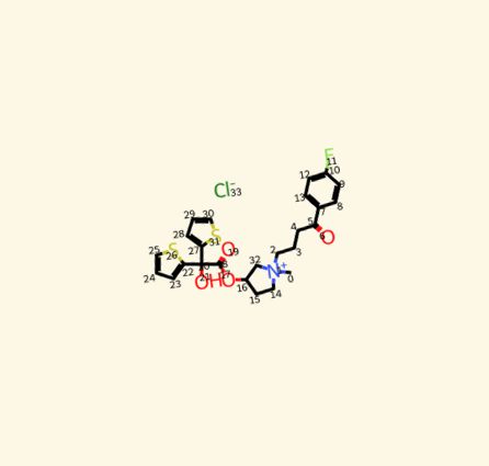 C[N+]1(CCCC(=O)c2ccc(F)cc2)CCC(OC(=O)C(O)(c2cccs2)c2cccs2)C1.[Cl-]